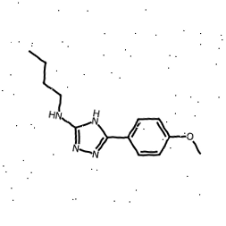 CCCCNc1nnc(-c2ccc(OC)cc2)[nH]1